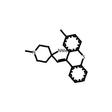 CNC1(/C=C2/c3ccccc3Sc3ccc(C)cc32)CCN(C)CC1